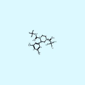 CC(C)(C)OC(=O)N1CCN(C(=O)C(F)(F)F)CC1c1cc(Cl)cc(Br)c1